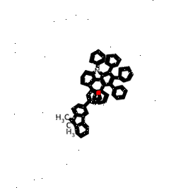 CC1(C)c2ccccc2-c2cc(-c3cccc(-c4cccc5c4c4c(-c6ccccc6)c(-c6ccccc6)c(-c6ccccc6)c(-c6ccccc6)c4n5-c4ccccc4)c3)ccc21